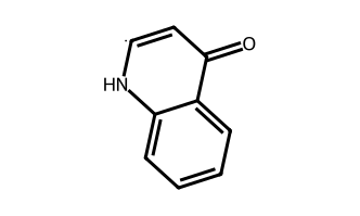 O=c1c[c][nH]c2ccccc12